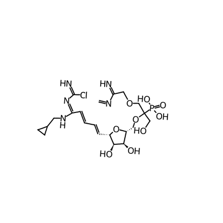 C=NC(=N)COCC(CO)(OC[C@H]1O[C@@H](/C=C/C=C/C(=N\C(=N)Cl)NCC2CC2)[C@H](O)[C@@H]1O)P(=O)(O)O